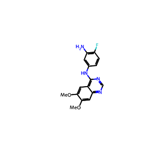 COc1cc2ncnc(Nc3ccc(F)c(N)c3)c2cc1OC